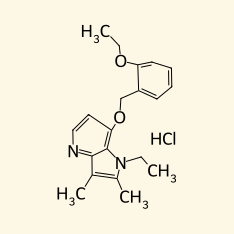 CCOc1ccccc1COc1ccnc2c(C)c(C)n(CC)c12.Cl